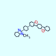 Cn1c(-c2ccc(-c3ccc4oc5cc6c(cc5c4c3)oc3ccccc36)cc2)nc2ccccc21